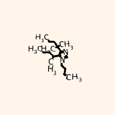 CCCCn1cnc(C(C)(C)CCC)c1C(C)CCC